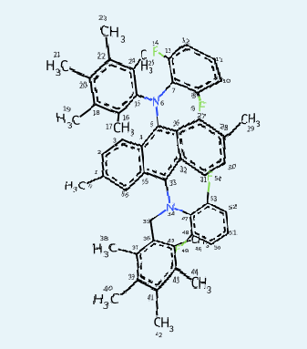 Cc1ccc2c(N(c3c(F)cccc3F)c3c(C)c(C)c(C)c(C)c3C)c3cc(C)ccc3c(N(Cc3c(C)c(C)c(C)c(C)c3C)c3c(F)cccc3F)c2c1